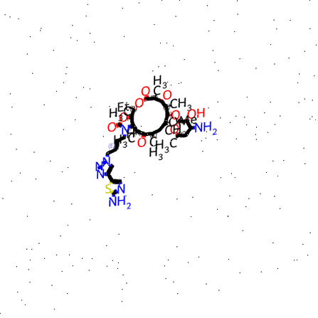 CC[C@H]1OC(=O)[C@H](C)C(=O)[C@H](C)[C@@H](O[C@@H]2O[C@H](C)CC(N)C2O)[C@](C)(OC)C[C@@H](C)C(=O)[C@H](C)[C@H]2N(C/C=C/Cn3cc(-c4cnc(N)s4)nn3)C(=O)O[C@]12C